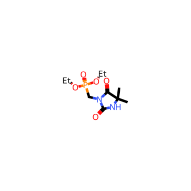 CCOP(=O)(CN1C(=O)NC(C)(C)C1=O)OCC